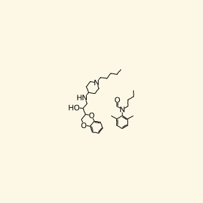 CCCCCN1CCC(NCC(O)C2COc3ccccc3O2)CC1.CCCCN(C=O)c1c(C)cccc1C